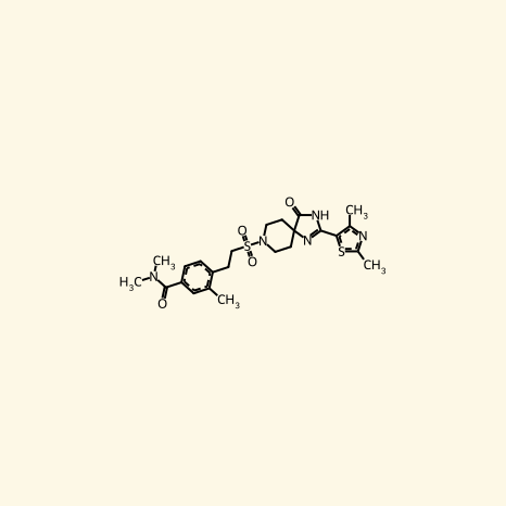 Cc1nc(C)c(C2=NC3(CCN(S(=O)(=O)CCc4ccc(C(=O)N(C)C)cc4C)CC3)C(=O)N2)s1